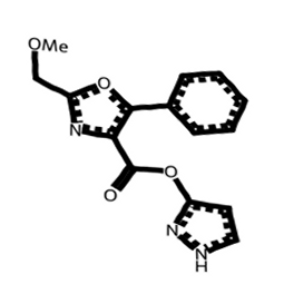 COCc1nc(C(=O)Oc2cc[nH]n2)c(-c2ccccc2)o1